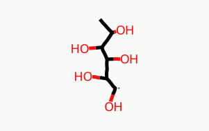 CC(O)C(O)C(O)C(O)[CH]O